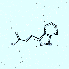 CC(=O)/C=C/c1c[nH]c2ccccc12